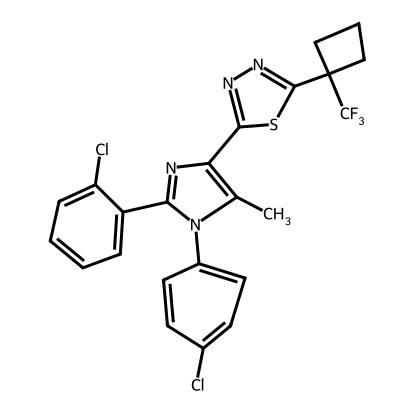 Cc1c(-c2nnc(C3(C(F)(F)F)CCC3)s2)nc(-c2ccccc2Cl)n1-c1ccc(Cl)cc1